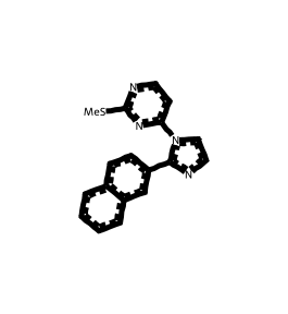 CSc1nccc(-n2[c]cnc2-c2ccc3ccccc3c2)n1